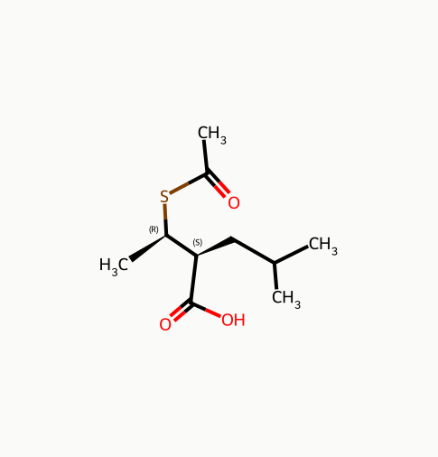 CC(=O)S[C@H](C)[C@@H](CC(C)C)C(=O)O